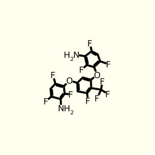 Nc1c(F)cc(F)c(Oc2cc(F)c(C(F)(F)F)c(Oc3c(F)cc(F)c(N)c3F)c2)c1F